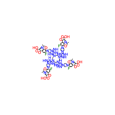 CC1COc2c(N3CCN(C(=N)NC(=N)N4CCN(C(=N)NC(=N)N5CCN(c6c(F)cc7c(=O)c(C(=O)O)cn8c7c6OCC8C)CC5)CCN(C(=N)NC(=N)N5CCN(c6c(F)cc7c(=O)c(C(=O)O)cn8c7c6OCC8C)CC5)CCN(C(=N)NC(=N)N5CCN(c6c(F)cc7c(=O)c(C(=O)O)cn8c7c6OCC8C)CC5)CC4)CC3)c(F)cc3c(=O)c(C(=O)O)cn1c23